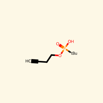 C#CCCOP(=O)(O)C(C)(C)C